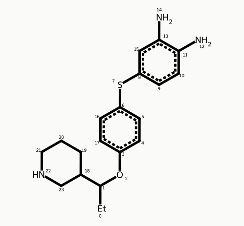 CCC(Oc1ccc(Sc2ccc(N)c(N)c2)cc1)C1CCCNC1